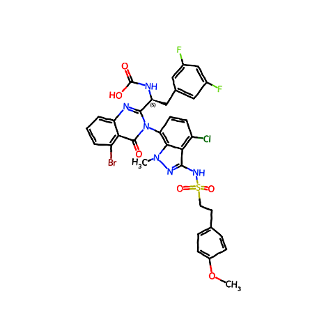 COc1ccc(CCS(=O)(=O)Nc2nn(C)c3c(-n4c([C@H](Cc5cc(F)cc(F)c5)NC(=O)O)nc5cccc(Br)c5c4=O)ccc(Cl)c23)cc1